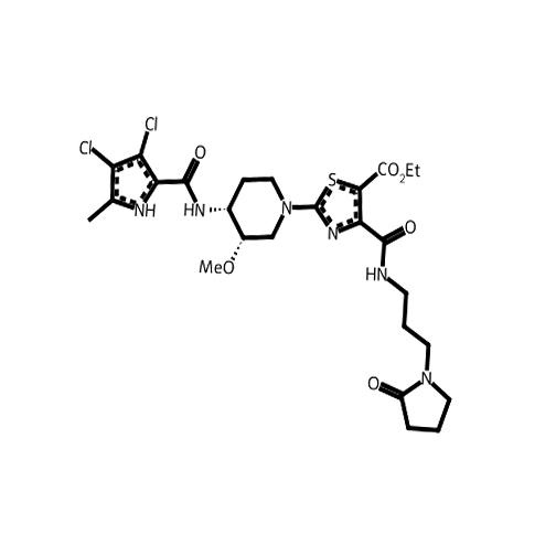 CCOC(=O)c1sc(N2CC[C@@H](NC(=O)c3[nH]c(C)c(Cl)c3Cl)[C@@H](OC)C2)nc1C(=O)NCCCN1CCCC1=O